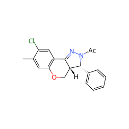 CC(=O)N1N=C2c3cc(Cl)c(C)cc3OC[C@H]2[C@H]1c1ccccc1